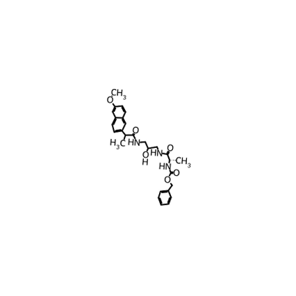 COc1ccc2cc(C(C)C(=O)NCC(O)CNC(=O)[C@H](C)NC(=O)OCc3ccccc3)ccc2c1